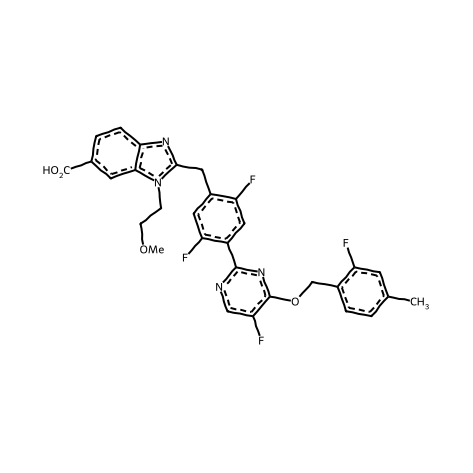 COCCn1c(Cc2cc(F)c(-c3ncc(F)c(OCc4ccc(C)cc4F)n3)cc2F)nc2ccc(C(=O)O)cc21